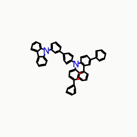 c1ccc(-c2ccc(N(c3ccc(-c4cccc(-n5c6ccccc6c6ccccc65)c4)cc3)c3ccc(-c4ccccc4)cc3-c3ccccc3)cc2)cc1